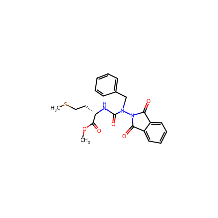 COC(=O)[C@H](CCSC)NC(=O)N(Cc1ccccc1)N1C(=O)c2ccccc2C1=O